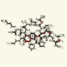 CC[C@H](C)[C@H](NC(=O)[C@H](CO)NC(=O)[C@H](CC(N)=O)NC(=O)[C@H](CCCCN)NC(=O)[C@@H]1CCCN1C(=O)[C@@H]1CCCN1C(=O)[C@H](CC(C)C)NC(=O)[C@H](CC(C)C)NC(=O)CN)C(=O)N[C@@H](CC(=O)O)C(=O)N[C@@H](C)C(=O)N[C@@H](Cc1ccccc1)C(=O)N[C@@H](CCCCN)C(=O)O